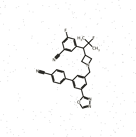 CC(C)(F)C(c1cc(F)cc(C#N)c1)C1CN(Cc2cc(-c3ccc(C#N)cc3)cc(-c3nnco3)c2)C1